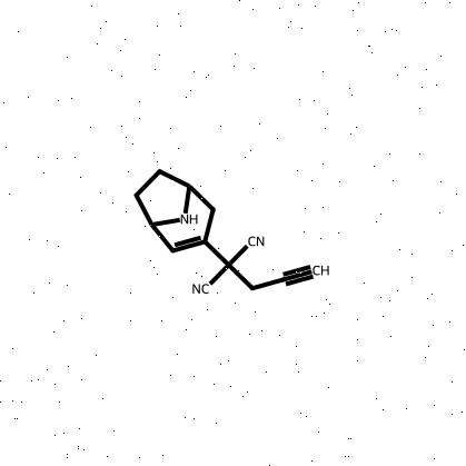 C#CCC(C#N)(C#N)C1=CC2CCC(C1)N2